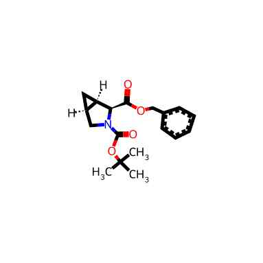 CC(C)(C)OC(=O)N1C[C@H]2C[C@H]2[C@H]1C(=O)OCc1ccccc1